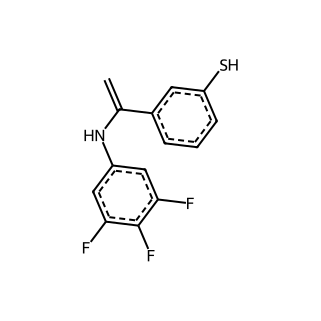 C=C(Nc1cc(F)c(F)c(F)c1)c1cccc(S)c1